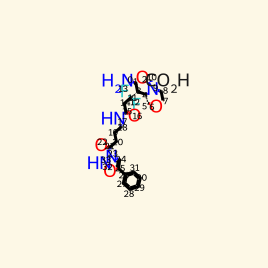 NC(=O)[C@H]([C@H]1COCCN1C(=O)O)C(F)(F)CC(=O)NCCCC(=O)N1C=C(c2ccccc2)ON1